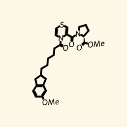 COC(=O)[C@@H]1CCCN1C(=O)C1=CSC=CN1C(=O)CCCCCC1Cc2ccc(OC)cc2C1